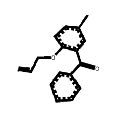 C=CCOc1ccc(C)cc1C(=O)c1ccccc1